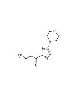 CCOC(=O)c1nnc(N2CCOCC2)s1